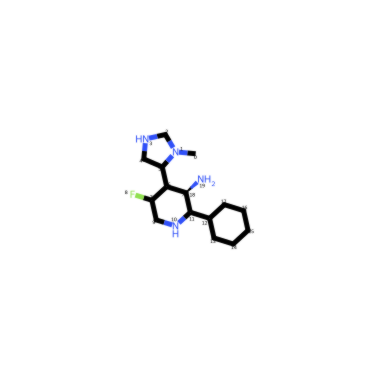 CN1CNCC1C1C(F)CNC(C2CCCCC2)[C@@H]1N